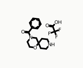 O=C(O)C(F)(F)F.O=C(c1ccccc1)N1CCOC2(CCNCC2)C1